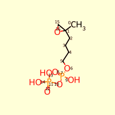 CC1(CCCCOP(=O)(O)OP(=O)(O)O)CO1